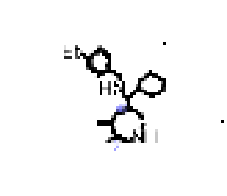 C=C1/C=C(/C(NCc2ccc(CC)cc2)C2CCCCC2)CCN/C=C\1C